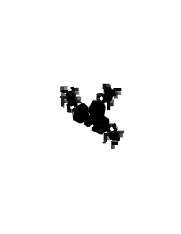 CC(c1ccc(OC(F)=C(F)F)cc1)(c1ccc(OC(F)=C(F)F)cc1)c1ccc(OC(F)(F)C(F)F)cc1